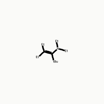 CCC(CC)=C(N(CC)CC)C(C)(C)C